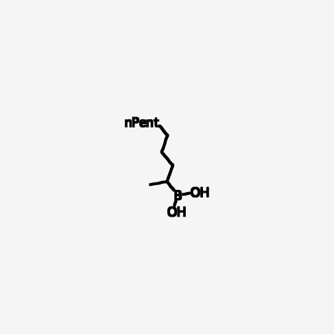 CCCCCCCCC(C)B(O)O